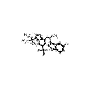 CC(Cc1cc(C(F)(F)F)cn2c(C(C)(C)C)nnc12)c1nnc2ccc(F)cn12